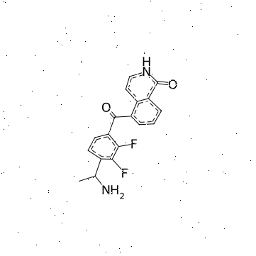 CC(N)c1ccc(C(=O)c2cccc3c(=O)[nH]ccc23)c(F)c1F